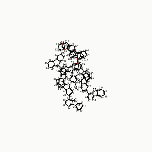 N#Cc1c(-n2c3ccc(-c4cccc5c4oc4ccccc45)cc3c3ncccc32)c(-n2c3ccccc3c3cc(-n4c5ccccc5c5cc(-c6ccccc6)ccc54)ccc32)c(-n2c3ccc(-c4cccc5c4oc4ccccc45)cc3c3ncccc32)c(-n2c3ccccc3c3cc(-n4c5ccccc5c5cc(-c6ccccc6)ccc54)ccc32)c1-n1c2ccc(-c3cccc4c3oc3ccccc34)cc2c2ncccc21